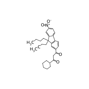 CCCCC1(CCCC)c2cc(C(=O)CC(=O)C3CCCCC3)ccc2-c2ccc([N+](=O)[O-])cc21